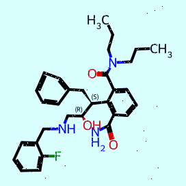 CCCN(CCC)C(=O)c1cccc(C(N)=O)c1[C@H](Cc1ccccc1)[C@@H](O)CNCc1ccccc1F